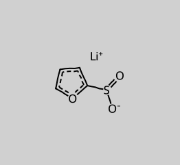 O=S([O-])c1ccco1.[Li+]